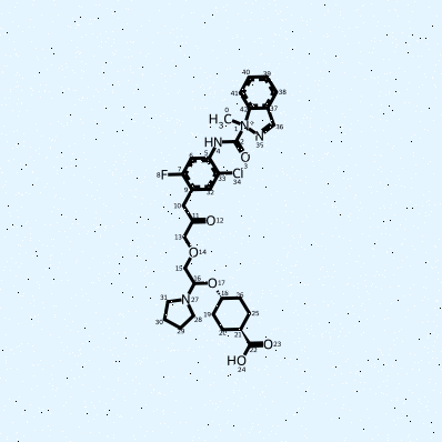 C[N+]1(C(=O)Nc2cc(F)c(CC(=O)COCC(O[C@H]3CC[C@H](C(=O)O)CC3)N3CCCC3)cc2Cl)N=Cc2ccccc21